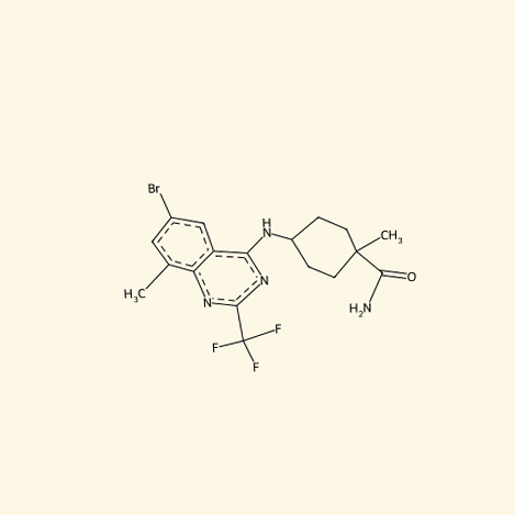 Cc1cc(Br)cc2c(NC3CCC(C)(C(N)=O)CC3)nc(C(F)(F)F)nc12